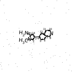 Cn1cc(-c2ccc3cnccc3c2)cc1N